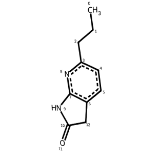 CCCc1ccc2c(n1)NC(=O)C2